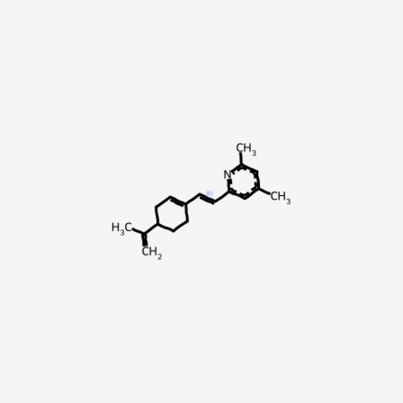 C=C(C)C1CC=C(/C=C/c2cc(C)cc(C)n2)CC1